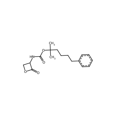 CC(C)(CCCCc1ccccc1)OC(=O)NC1COC1=O